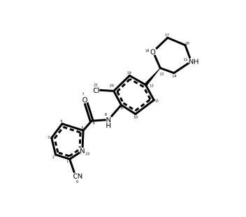 N#Cc1cccc(C(=O)Nc2ccc([C@@H]3CNCCO3)cc2Cl)n1